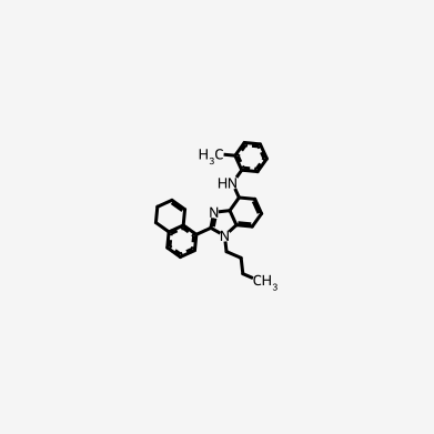 CCCCN1C2=CC=CC(Nc3ccccc3C)C2N=C1c1cccc2c1C=CCC2